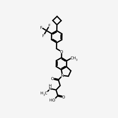 CNC(CC(=O)N1CCc2c1ccc(OCc1ccc(C3CCC3)c(C(F)(F)F)c1)c2C)C(=O)O